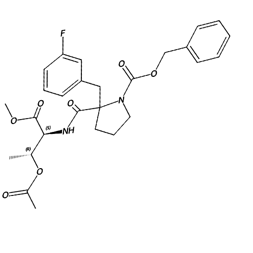 COC(=O)[C@@H](NC(=O)C1(Cc2cccc(F)c2)CCCN1C(=O)OCc1ccccc1)[C@@H](C)OC(C)=O